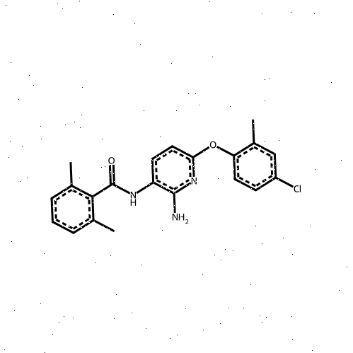 Cc1cc(Cl)ccc1Oc1ccc(NC(=O)c2c(C)cccc2C)c(N)n1